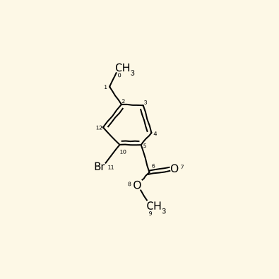 CCc1ccc(C(=O)OC)c(Br)c1